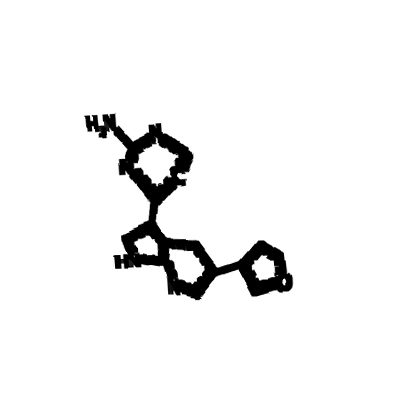 Nc1nccc(-c2c[nH]c3ncc(-c4ccoc4)cc23)n1